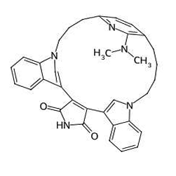 CN(C)c1nc2ccc1CCCCn1cc(c3ccccc31)C1=C(C(=O)NC1=O)c1cn(c3ccccc13)CCC2